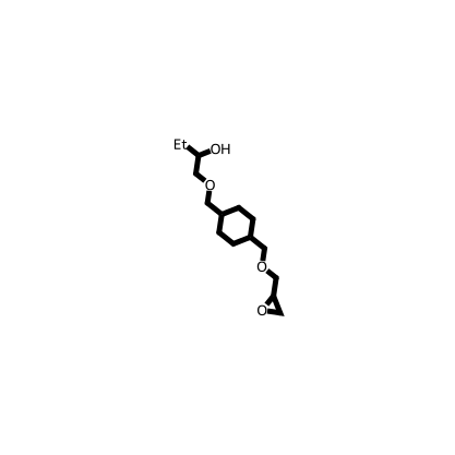 CCC(O)COCC1CCC(COCC2CO2)CC1